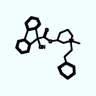 C[N+]1(CCc2ccccc2)CCCC(OC(=O)C2(O)c3ccccc3-c3ccccc32)C1